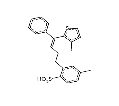 Cc1ccc(S(=O)(=O)O)c(CCC=C(c2ccccc2)c2sccc2C)c1